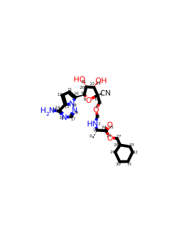 C[C@H](NCOC[C@@]1(C#N)O[C@@H](c2ccc3c(N)ncnn23)[C@H](O)[C@@H]1O)C(=O)OCC1CCCCC1